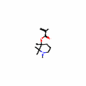 C=C(C)C(=O)OC1(C)CCCN(C)C1(C)C